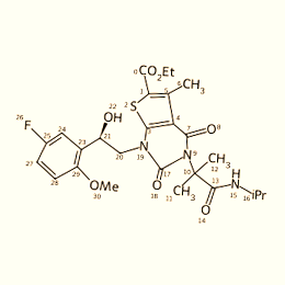 CCOC(=O)c1sc2c(c1C)c(=O)n(C(C)(C)C(=O)NC(C)C)c(=O)n2C[C@H](O)c1cc(F)ccc1OC